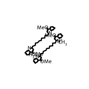 COc1cc(CCCCCCCCCCc2cc(OC)c3ccccc3[n+]2C)[n+](C)c2ccccc12.COc1cc(CCCCCCCCCCc2cc(OC)c3ccccc3n2)nc2ccccc12